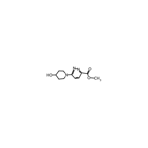 COC(=O)c1ccc(N2CCC(O)CC2)nn1